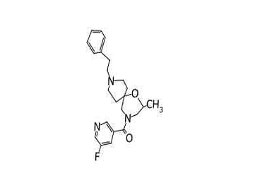 CC1CN(C(=O)c2cncc(F)c2)CC2(CCN(CCc3ccccc3)CC2)O1